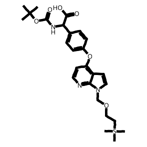 CC(C)(C)OC(=O)NC(C(=O)O)c1ccc(Oc2ccnc3c2ccn3COCCS(C)(C)C)cc1